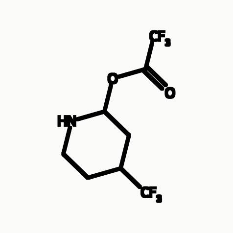 O=C(OC1CC(C(F)(F)F)CCN1)C(F)(F)F